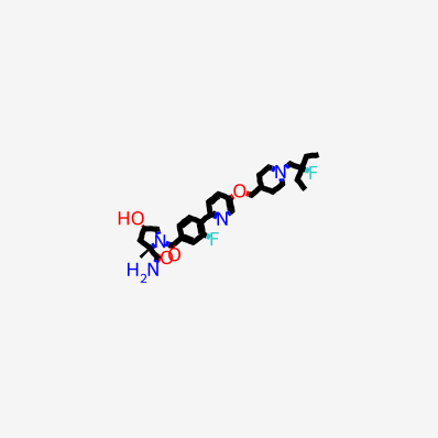 CCC(F)(CC)CN1CCC(COc2ccc(-c3ccc(C(=O)N4C[C@H](O)C[C@@]4(C)C(N)=O)cc3F)nc2)CC1